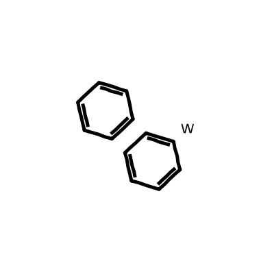 [W].c1ccccc1.c1ccccc1